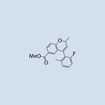 COC(=O)c1ccc2c(c1)C(c1c(C)cccc1F)=CC(C)O2